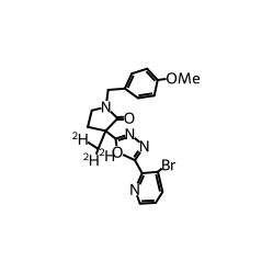 [2H]C([2H])([2H])C1(c2nnc(-c3ncccc3Br)o2)CCN(Cc2ccc(OC)cc2)C1=O